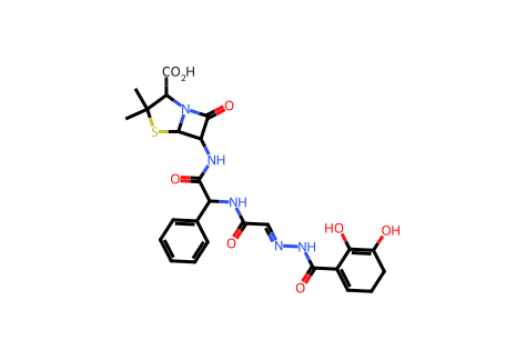 CC1(C)SC2C(NC(=O)C(NC(=O)/C=N/NC(=O)C3=CCCC(O)=C3O)c3ccccc3)C(=O)N2C1C(=O)O